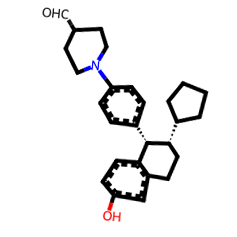 O=CC1CCN(c2ccc([C@H]3c4ccc(O)cc4CC[C@H]3C3CCCC3)cc2)CC1